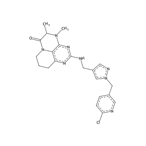 CC1C(=O)N2CCCc3nc(NCc4cnn(Cc5ccc(Cl)nc5)c4)nc(c32)N1C